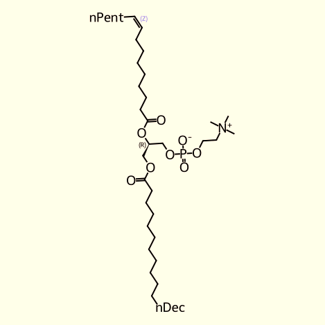 CCCCC/C=C\CCCCCCCC(=O)O[C@H](COC(=O)CCCCCCCCCCCCCCCCCCCC)COP(=O)([O-])OCC[N+](C)(C)C